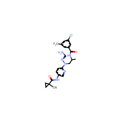 CC(CN(N=CN)c1ccc(NC(=O)C2(C#N)CC2)cn1)NC(=O)c1cc(Cl)cc(C(F)(F)F)c1